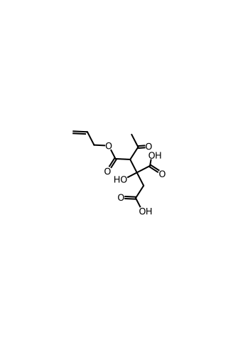 C=CCOC(=O)C(C(C)=O)C(O)(CC(=O)O)C(=O)O